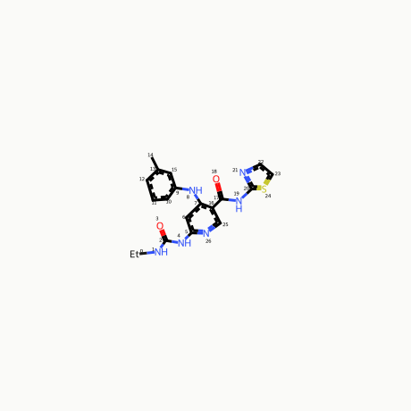 CCNC(=O)Nc1cc(Nc2cccc(C)c2)c(C(=O)Nc2nccs2)cn1